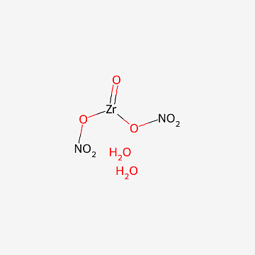 O.O.O=[N+]([O-])[O][Zr](=[O])[O][N+](=O)[O-]